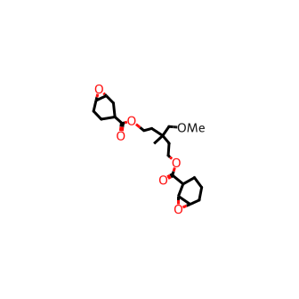 COCC(C)(CCOC(=O)C1CCC2OC2C1)CCOC(=O)C1CCCC2OC21